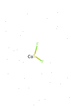 FSF.[Co]